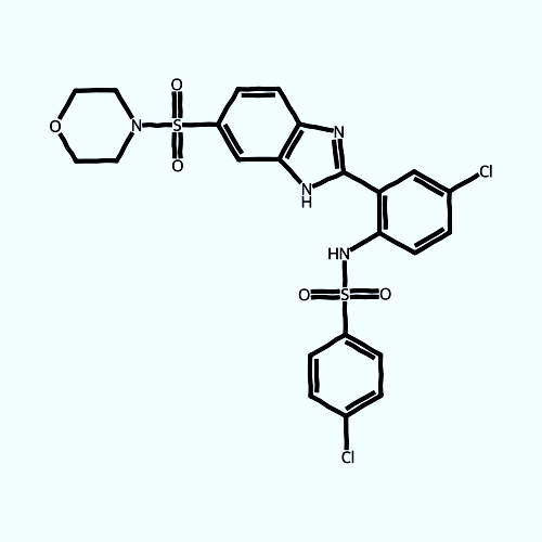 O=S(=O)(Nc1ccc(Cl)cc1-c1nc2ccc(S(=O)(=O)N3CCOCC3)cc2[nH]1)c1ccc(Cl)cc1